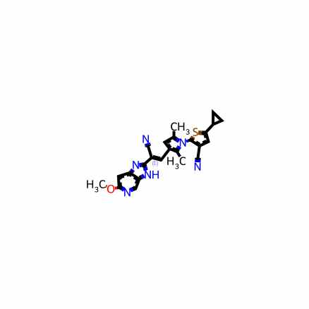 COc1cc2nc(/C(C#N)=C/c3cc(C)n(-c4sc(C5CC5)cc4C#N)c3C)[nH]c2cn1